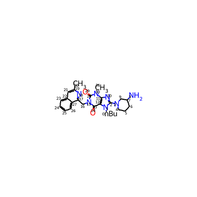 CCCCn1c(N2CCCC(N)C2)nc2c1c(=O)n(Cc1nc(C)cc3ccccc13)c(=O)n2C